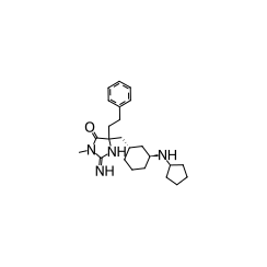 CN1C(=N)NC(CCc2ccccc2)(C[C@H]2CCC[C@H](NC3CCCC3)C2)C1=O